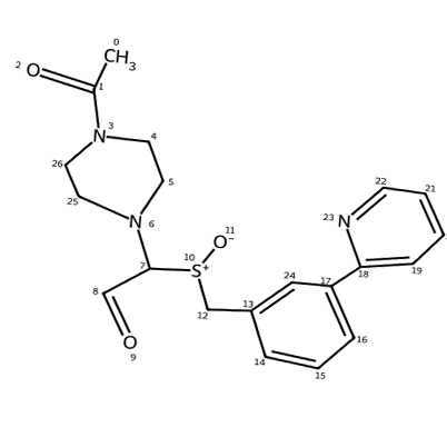 CC(=O)N1CCN(C(C=O)[S+]([O-])Cc2cccc(-c3ccccn3)c2)CC1